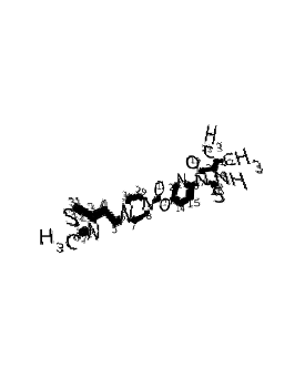 Cc1nc(CCN2CCN(C(=O)Oc3ccc(N4C(=O)C(C(C)C)NC4=S)nc3)CC2)cs1